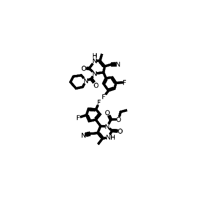 CC1=C(C#N)C(c2cc(F)cc(F)c2)N(C(=O)N2CCCCC2)C(=O)N1.CCOC(=O)N1C(=O)NC(C)=C(C#N)C1c1cc(F)cc(F)c1